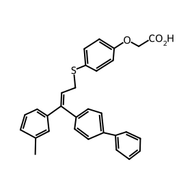 Cc1cccc(/C(=C/CSc2ccc(OCC(=O)O)cc2)c2ccc(-c3ccccc3)cc2)c1